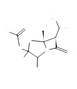 CC1N2C(=O)[C@H]([C@@H](C)O)[C@H]2SC1(OC(N)=O)C(=O)O